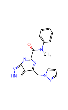 CN(C(=O)c1nc(Cn2cccn2)c2c[nH]nc2n1)c1ccccc1